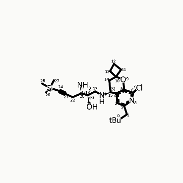 CC(C)(C)Cc1cc2c(c(Cl)n1)OC1(CCC1)C[C@@H]2NC[C@@H](O)[C@@H](N)CC#C[Si](C)(C)C